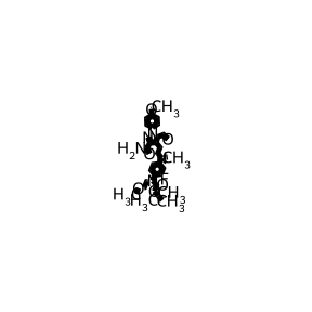 COCCN(C(=O)OC(C)(C)C)c1ccc(N(C)CCc2c(C(N)=O)nn(-c3ccc(OC)cc3)c2C=O)cc1F